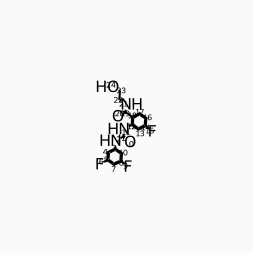 O=C(Nc1cc(F)cc(F)c1)Nc1cc(F)ccc1C(=O)NCCO